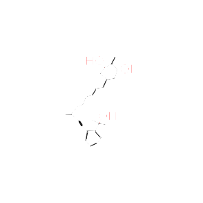 C=C1[C@H](O)CC(=CC=CCCCC(C)C#Cc2ccccc2C(C)(C)O)C[C@@H]1O